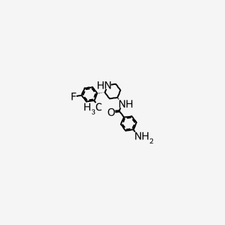 Cc1cc(F)ccc1[C@H]1C[C@@H](NC(=O)c2ccc(N)cc2)CCN1